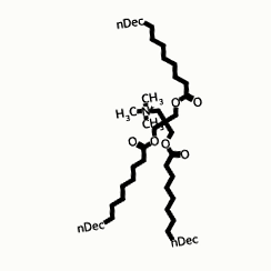 CCCCCCCCCCCCCCCCCC(=O)OCC(COC(=O)CCCCCCCCCCCCCCCCC)(COC(=O)CCCCCCCCCCCCCCCCC)C[N+](C)(C)C